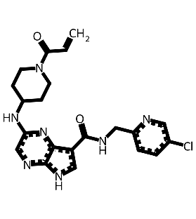 C=CC(=O)N1CCC(Nc2cnc3[nH]cc(C(=O)NCc4ccc(Cl)cn4)c3n2)CC1